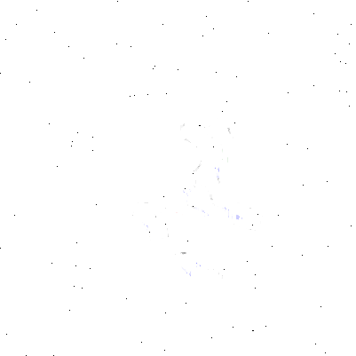 Cn1cc(C2CN3CCCC3(COc3nc(N4CC5CCC(C4)N5)c4cnc(-c5cccc6cccc(Cl)c56)c(F)c4n3)C2)cn1